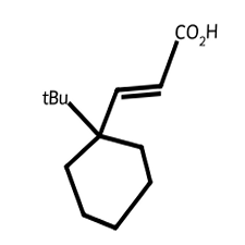 CC(C)(C)C1(C=CC(=O)O)CCCCC1